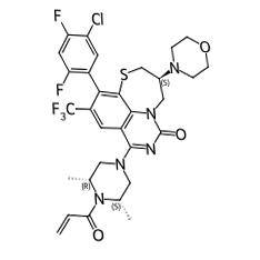 C=CC(=O)N1[C@H](C)CN(c2nc(=O)n3c4c(c(-c5cc(Cl)c(F)cc5F)c(C(F)(F)F)cc24)SC[C@@H](N2CCOCC2)C3)C[C@@H]1C